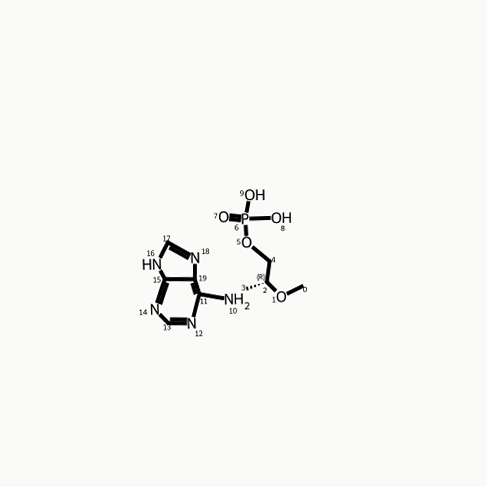 CO[C@H](C)COP(=O)(O)O.Nc1ncnc2[nH]cnc12